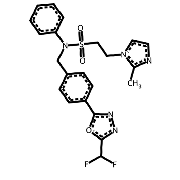 Cc1nccn1CCS(=O)(=O)N(Cc1ccc(-c2nnc(C(F)F)o2)cc1)c1ccccc1